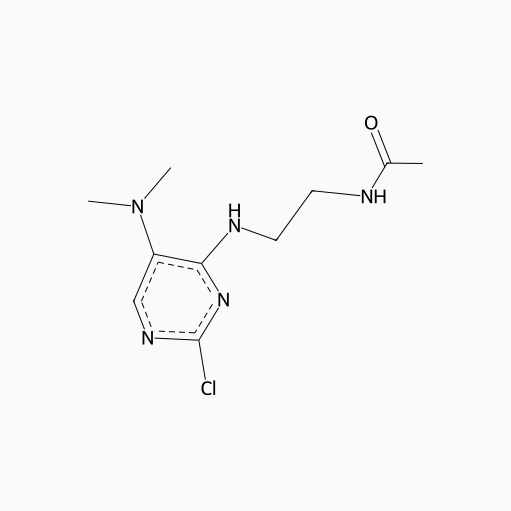 CC(=O)NCCNc1nc(Cl)ncc1N(C)C